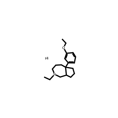 CCOc1cccc(C23CCCC2CN(CC)CCC3)c1.I